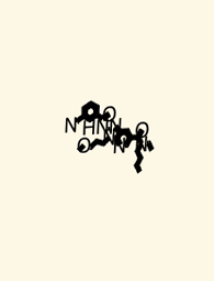 CCCCN(CC)C(=O)c1cnc2c(c1)nc(NC(=O)c1cccc(C#N)c1)n2CCCOC